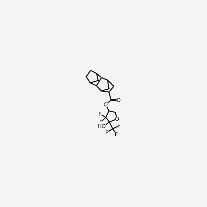 O=C(OC1COC(O)(C(F)(F)F)C1(F)F)C1CC2CC1C1C3CCC(C3)C21